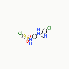 O=S(=O)(N[C@H]1CC[C@@H](Nc2ccnc3cc(Cl)ccc23)CC1)c1ccc(Cl)s1